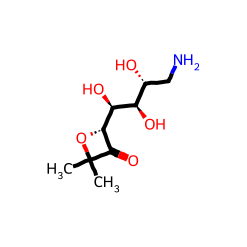 CC1(C)O[C@H]([C@@H](O)[C@H](O)[C@H](O)CN)C1=O